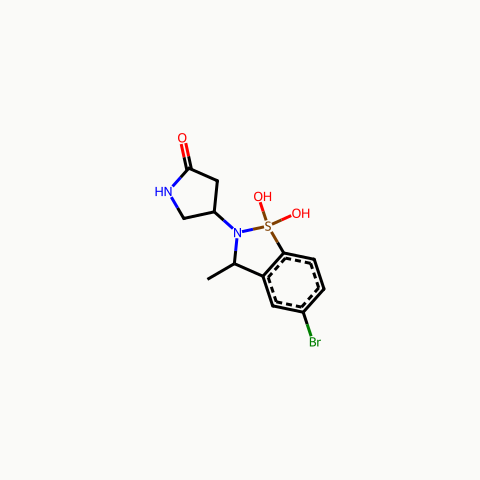 CC1c2cc(Br)ccc2S(O)(O)N1C1CNC(=O)C1